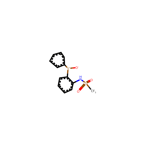 O=S(=O)(Nc1ccccc1[S+]([O-])c1ccccc1)C(F)(F)F